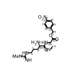 CNC(=N)NCCC[C@@H](N)C(=O)N[C@@H](CC(C)C)C(=O)OCc1ccc([N+](=O)[O-])cc1